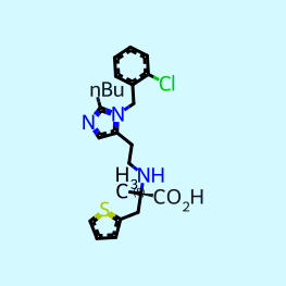 CCCCc1ncc(CCN[C@@](C)(Cc2cccs2)C(=O)O)n1Cc1ccccc1Cl